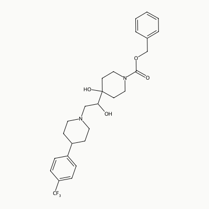 O=C(OCc1ccccc1)N1CCC(O)(C(O)CN2CCC(c3ccc(C(F)(F)F)cc3)CC2)CC1